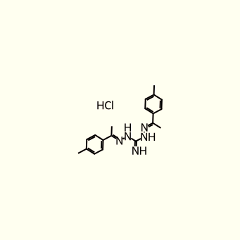 C/C(=N\NC(=N)N/N=C(\C)c1ccc(C)cc1)c1ccc(C)cc1.Cl